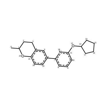 CC1CCc2cc(-c3cccc(OC4CCCC4)n3)ccc2O1